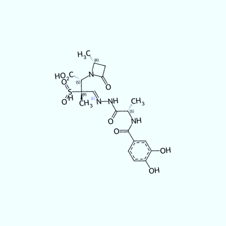 C[C@H](NC(=O)c1ccc(O)c(O)c1)C(=O)N/N=C/[C@@](C)([C@H](C(=O)O)N1C(=O)C[C@H]1C)[SH](=O)=O